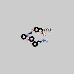 CCO[C@@H](Cc1ccc(OCCN2c3ccccc3Oc3ccccc32)cc1)C(=O)O.NCCc1ccccc1